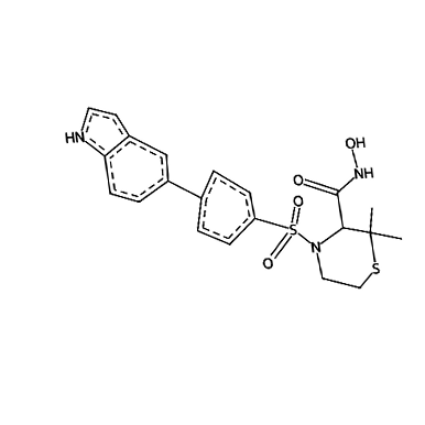 CC1(C)SCCN(S(=O)(=O)c2ccc(-c3ccc4[nH]ccc4c3)cc2)C1C(=O)NO